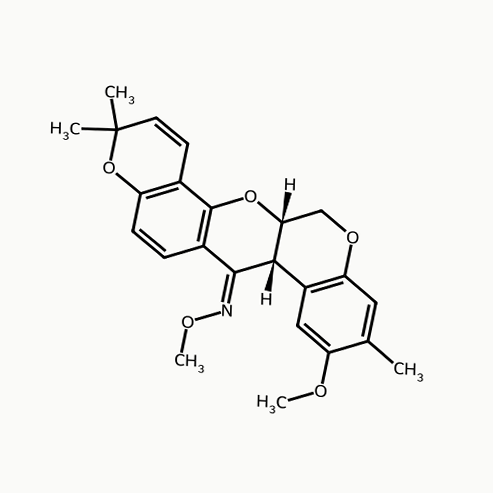 CO/N=C1\c2ccc3c(c2O[C@@H]2COc4cc(C)c(OC)cc4[C@H]12)C=CC(C)(C)O3